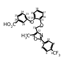 Cc1oc(-c2ccc(C(F)(F)F)cc2)nc1COc1ccccc1Oc1cccc(C(=O)O)c1